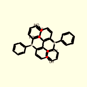 Oc1ccc(P(c2ccccc2)c2ccccc2)c(C2=C(P(c3ccccc3)c3ccccc3)C=C[C@H](O)C2O)c1O